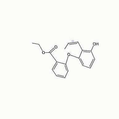 C/C=C\c1c(O)cccc1Oc1ccccc1C(=O)OCC